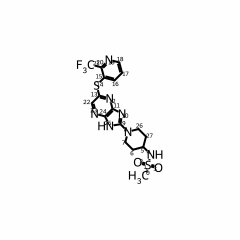 CS(=O)(=O)NC1CCN(c2nc3nc(Sc4cccnc4C(F)(F)F)cnc3[nH]2)CC1